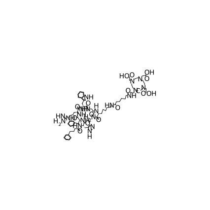 N=C(N)NCCC[C@H](NC(=O)C(Cc1ccccc1)NC(=O)[C@H](Cc1cnc[nH]1)NC(=O)CCCc1ccccc1)C(=O)N[C@@H](Cc1c[nH]c2ccccc12)C(=O)NCC(=O)N[C@@H](CCCCCNC(=O)CCCCCNC(=O)CN1CCN(CC(=O)O)CCN(CC(=O)O)CCN(CC(=O)O)CC1)C(N)=O